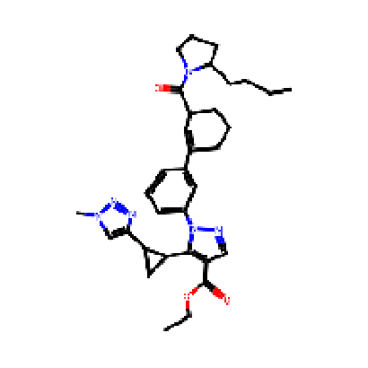 CCCCC1CCCN1C(=O)C1C=C(c2cccc(-n3ncc(C(=O)OCC)c3C3CC3c3cn(C)nn3)c2)CCC1